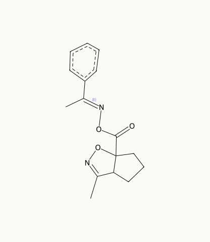 CC1=NOC2(C(=O)O/N=C(\C)c3ccccc3)CCCC12